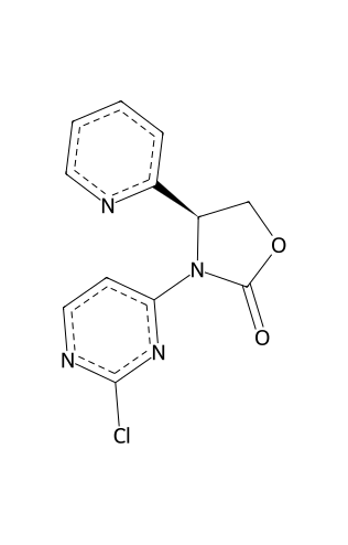 O=C1OC[C@H](c2ccccn2)N1c1ccnc(Cl)n1